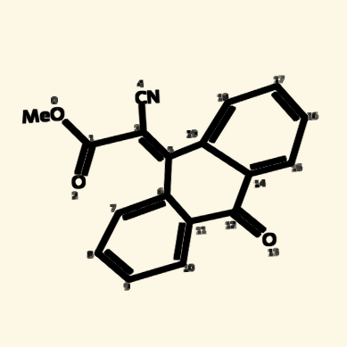 COC(=O)C(C#N)=C1c2ccccc2C(=O)c2ccccc21